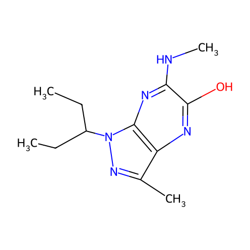 CCC(CC)n1nc(C)c2nc(O)c(NC)nc21